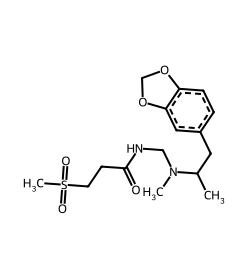 CC(Cc1ccc2c(c1)OCO2)N(C)CNC(=O)CCS(C)(=O)=O